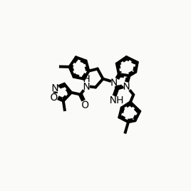 Cc1ccc(CC(CNC(=O)c2cnoc2C)n2c(=N)n(Cc3ccc(C)cc3)c3ccccc32)cc1